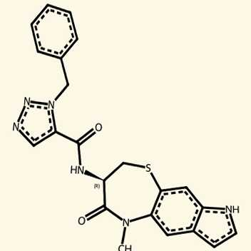 CN1C(=O)[C@@H](NC(=O)c2cnnn2Cc2ccccc2)CSc2cc3[nH]ccc3cc21